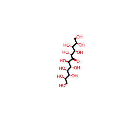 O=C(C(O)[C@H](O)[C@@H](O)[C@H](O)[C@H](O)CO)[C@H](O)[C@@H](O)[C@H](O)[C@H](O)CO